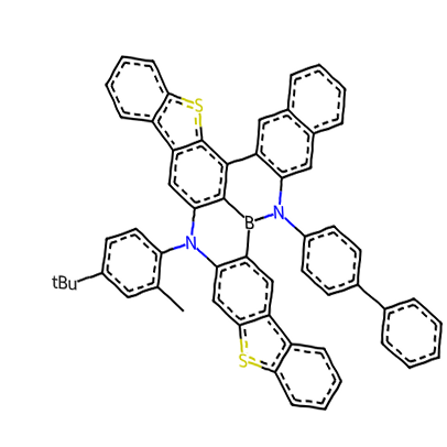 Cc1cc(C(C)(C)C)ccc1N1c2cc3sc4ccccc4c3cc2B2c3c1cc1c(sc4ccccc41)c3-c1cc3ccccc3cc1N2c1ccc(-c2ccccc2)cc1